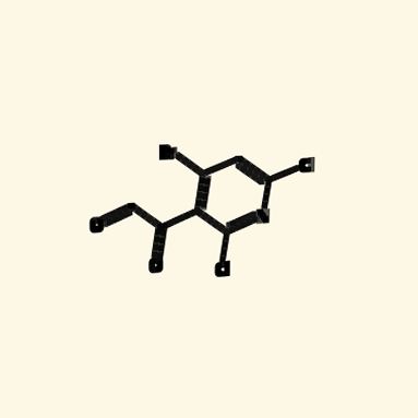 O=CC(=O)c1c(Br)cc(Cl)nc1Cl